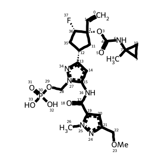 C=C[C@@]1(OC(=O)NC2(C)CC2)C[C@H](c2cc(NC(=O)c3cc(COC)nn3C)n(COP(=O)(O)O)n2)C[C@@H]1F